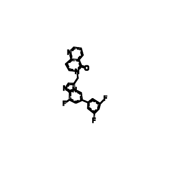 O=c1c2cccnc2ccn1Cc1cnc2c(F)cc(-c3cc(F)cc(F)c3)cn12